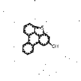 Oc1cc2sc3cccc4c5ccccc5c(c1)c2c34